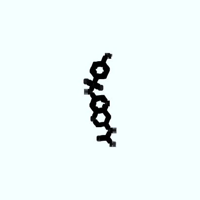 CCC(=O)NC1COc2cc(NS(=O)(=O)c3ccc(C(C)C)cc3)cnc2C1